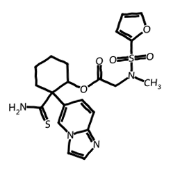 CN(CC(=O)OC1CCCCC1(C(N)=S)c1ccc2nccn2c1)S(=O)(=O)c1ccco1